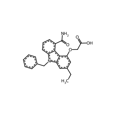 CCc1cc(OCC(=O)O)c2c3c(C(N)=O)cccc3n(Cc3ccccc3)c2c1